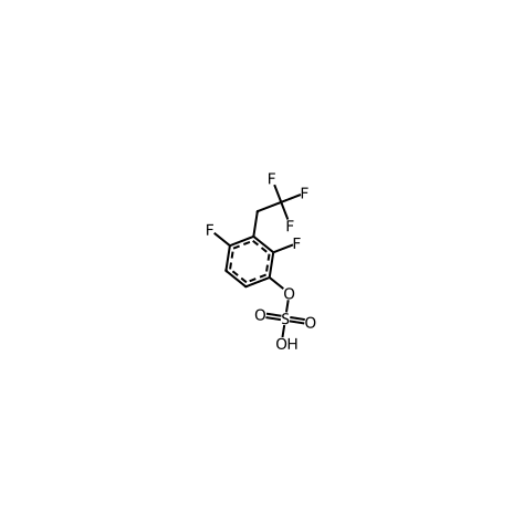 O=S(=O)(O)Oc1ccc(F)c(CC(F)(F)F)c1F